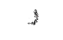 c1ccc(-c2ccc(-n3c4ccccc4c4cc(-c5cccc6c5-c5ccccc5C6(c5ccccc5)c5ccc6nc(-c7ccccc7)oc6c5)ccc43)cc2)cc1